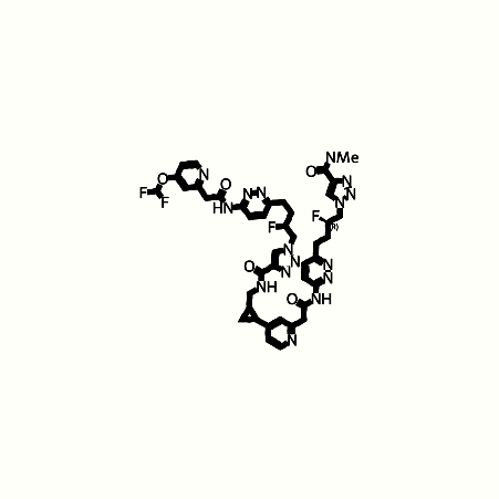 CNC(=O)c1cn(C[C@H](F)CCc2ccc(NC(=O)Cc3cc(C4CC4CNC(=O)c4cn(CC(F)CCc5ccc(NC(=O)Cc6cc(OC(F)F)ccn6)nn5)nn4)ccn3)nn2)nn1